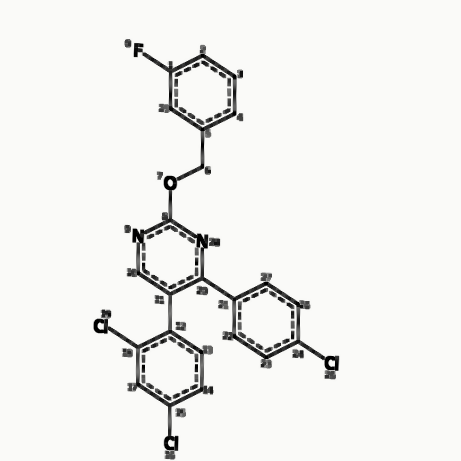 Fc1cccc(COc2ncc(-c3ccc(Cl)cc3Cl)c(-c3ccc(Cl)cc3)n2)c1